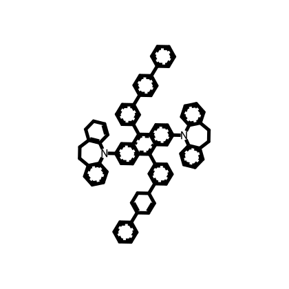 C1=CC2=C(CC1)CCc1ccccc1N2c1ccc2c(-c3cccc(C4C=CC(c5ccccc5)=CC4)c3)c3cc(N4c5ccccc5CCc5ccccc54)ccc3c(-c3cccc(-c4ccc(-c5ccccc5)cc4)c3)c2c1